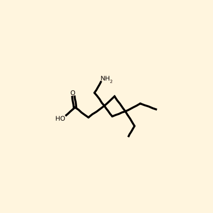 CCC1(CC)CC(CN)(CC(=O)O)C1